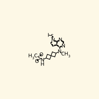 CN(c1ncnc2c1ccn2SI)C1CC2(CC(NS(C)(=O)=O)C2)C1